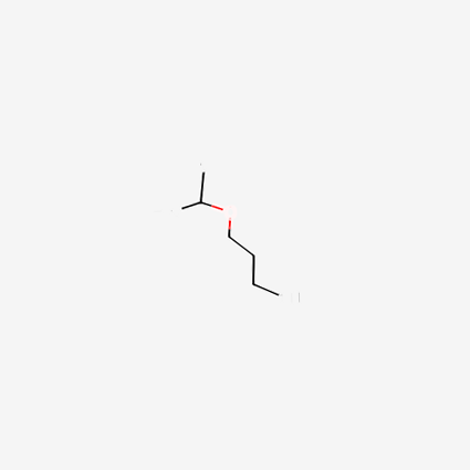 [CH2]C[CH]COC(C)C